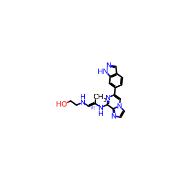 C/C(=C\NCCO)Nc1nc(-c2ccc3cn[nH]c3c2)cn2ccnc12